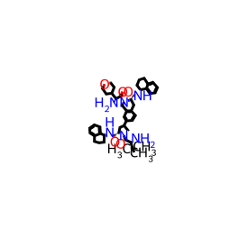 CC(C)(C)[C@H](N)C(=O)N1CC(c2ccc3c(c2)CN(C(=O)[C@@H](N)C2CCOCC2)[C@H](C(=O)NC2CCCc4ccccc42)C3)C[C@H]1C(=O)NC1CCCc2ccccc21